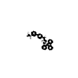 CC(=O)Nc1cccc(-c2ccc(C(=O)c3cn(C(c4ccccc4)(c4ccccc4)c4ccccc4)cn3)cc2)c1